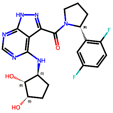 O=C(c1n[nH]c2ncnc(N[C@H]3CC[C@H](O)[C@@H]3O)c12)N1CCC[C@@H]1c1cc(F)ccc1F